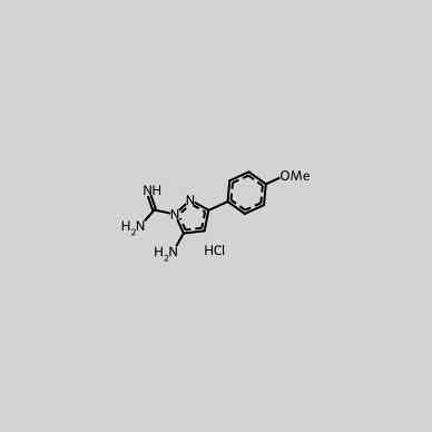 COc1ccc(-c2cc(N)n(C(=N)N)n2)cc1.Cl